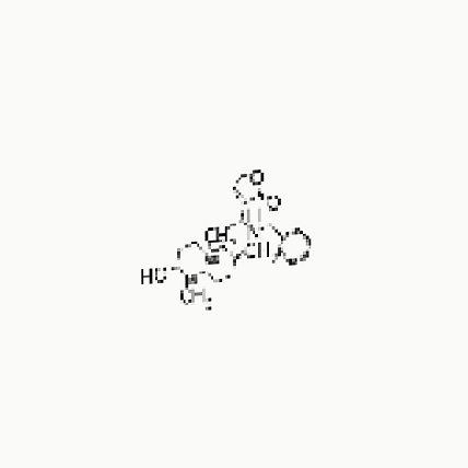 C=C1CCC2[C@@H](C)C(O)CC[C@]2(C)[C@@H]1CC(NCc1ccccc1)C1=CCOC1=O